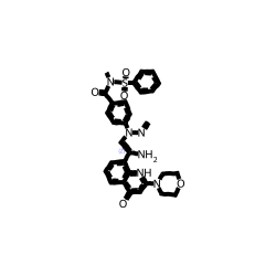 C=NN(/C=C(\N)c1cccc2c(=O)cc(N3CCOCC3)[nH]c12)c1ccc(C(=O)N(C)S(=O)(=O)c2ccccc2)cc1